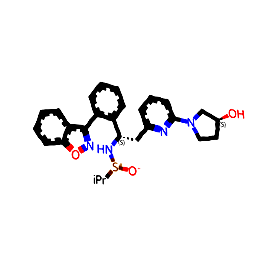 CC(C)[S+]([O-])N[C@@H](Cc1cccc(N2CC[C@H](O)C2)n1)c1ccccc1-c1noc2ccccc12